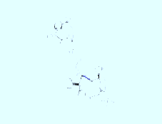 CCCC1COC(=O)/C(CCCCN2CCOCC2)=C/C(=O)O1